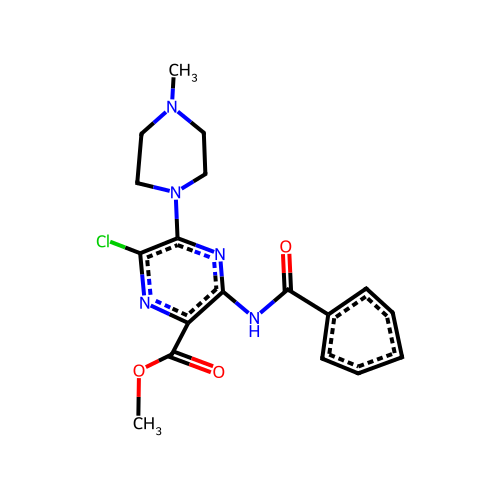 COC(=O)c1nc(Cl)c(N2CCN(C)CC2)nc1NC(=O)c1ccccc1